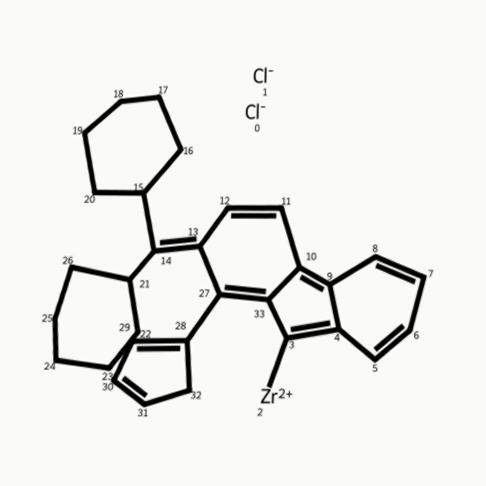 [Cl-].[Cl-].[Zr+2][C]1=c2ccccc2=c2ccc(=C(C3CCCCC3)C3CCCCC3)c(C3=CC=CC3)c21